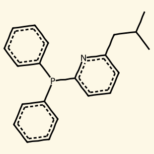 CC(C)Cc1cccc(P(c2ccccc2)c2ccccc2)n1